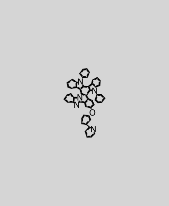 c1ccc(-n2c3ccccc3c3c2c2c4ccc(Oc5cccc(-c6ccccn6)c5)cc4c4nc5ccccc5n4c2c2c4ccccc4n(-c4ccccc4)c32)cc1